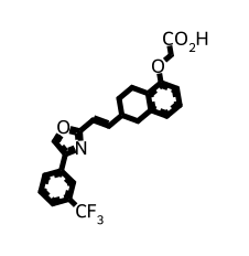 O=C(O)COc1cccc2c1CCC(C=Cc1nc(-c3cccc(C(F)(F)F)c3)co1)C2